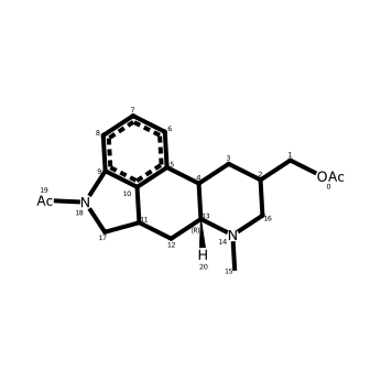 CC(=O)OCC1CC2c3cccc4c3C(C[C@H]2N(C)C1)CN4C(C)=O